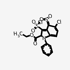 CCOC(=O)C1C(S(=O)(=O)Cl)=C2C(=CC=C(Cl)C2=S(=O)=O)N1c1ccccc1